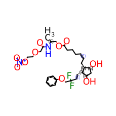 C[C@@H](COC(=O)CCC/C=C\C[C@@H]1[C@@H](/C=C/C(F)(F)COc2ccccc2)[C@H](O)C[C@@H]1O)NC(=O)COCCO[N+](=O)[O-]